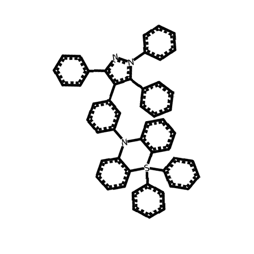 c1ccc(-c2nn(-c3ccccc3)c(-c3ccccc3)c2-c2cccc(N3c4ccccc4S(c4ccccc4)(c4ccccc4)c4ccccc43)c2)cc1